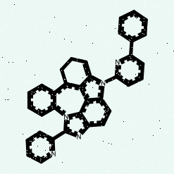 C1=c2c3c(c4ccccc4n4c(-c5ccccn5)nc5ccc(c3c54)n2-c2cccc(-c3ccccc3)n2)CC1